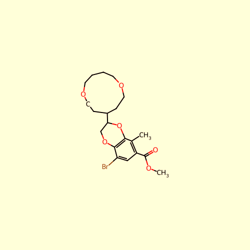 COC(=O)c1cc(Br)c2c(c1C)OC(C1CCOCCCCOCC1)CO2